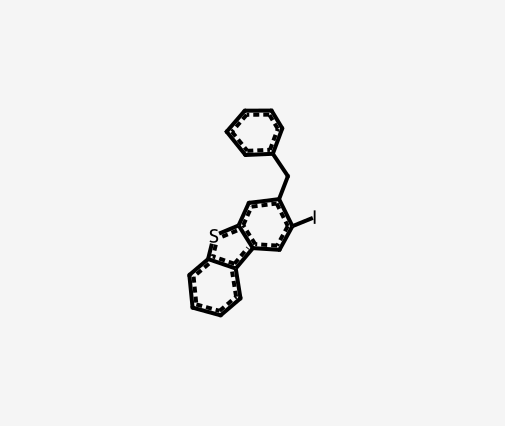 Ic1cc2c(cc1Cc1ccccc1)sc1ccccc12